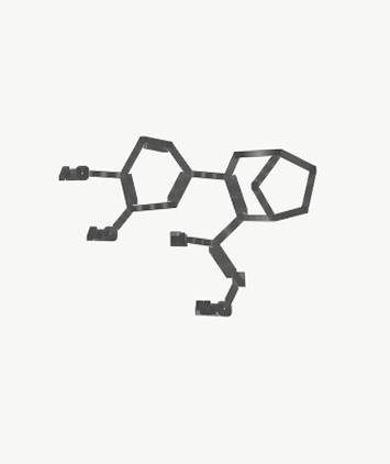 CC/C(=N\OC)C1=C(c2ccc(OC(C)=O)c(OC(C)=O)c2)CC2CCC1C2